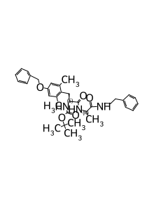 Cc1cc(OCc2ccccc2)cc(C)c1C[C@H](NC(=O)OC(C)(C)C)C(=O)N[C@H](C)C(=O)NCCCc1ccccc1